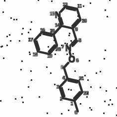 Cc1ccc(CON=Cc2cccnc2-c2ccccc2)cc1